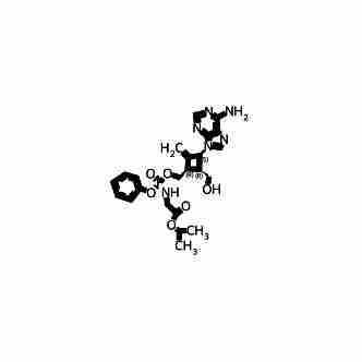 C=C1[C@@H](n2cnc3c(N)ncnc32)[C@H](CO)[C@H]1COP(=O)(NCC(=O)OC(C)C)Oc1ccccc1